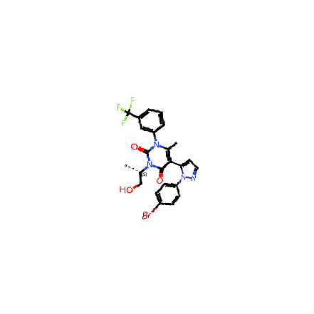 Cc1c(-c2ccnn2-c2ccc(Br)cc2)c(=O)n([C@@H](C)CO)c(=O)n1-c1cccc(C(F)(F)F)c1